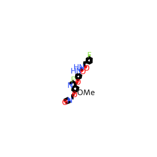 COc1cc2c(Oc3ccc(NC(=O)NC(=O)Cc4cccc(F)c4)cc3F)ccnc2cc1OCCN1CCOCC1